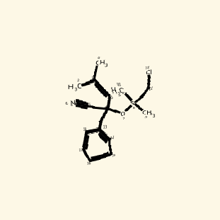 CC(C)=CC(C#N)(O[Si](C)(C)CCl)c1ccccc1